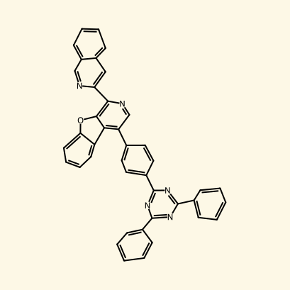 c1ccc(-c2nc(-c3ccccc3)nc(-c3ccc(-c4cnc(-c5cc6ccccc6cn5)c5oc6ccccc6c45)cc3)n2)cc1